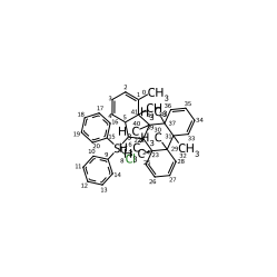 CC1=CC=CC2C([Si](Cl)(c3ccccc3)c3ccccc3)C3(C)C4(C)C=CC=CC4(C)C4(C)C=CC=CC4(C)C3(C)C12C